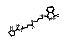 O=C(CCc1nc(C2CCCN2)no1)NCCCNc1n[nH]c(=O)c2ccccc12